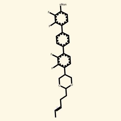 C/C=C/CCC1OCC(c2ccc(-c3ccc(-c4ccc(CCCCCCCCC)c(F)c4F)cc3)c(F)c2F)CO1